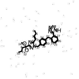 CC/C=C/c1nc(C(CCC)(OC)OC)nn1Cc1ccc(Cc2ccccc2-c2nnn[nH]2)cc1